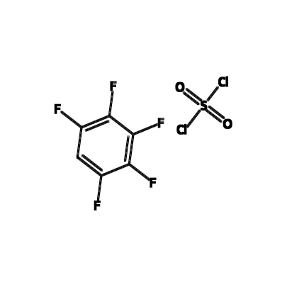 Fc1cc(F)c(F)c(F)c1F.O=S(=O)(Cl)Cl